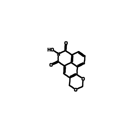 O=C1c2cccc3c4c(cc(c23)C(=O)N1O)COCO4